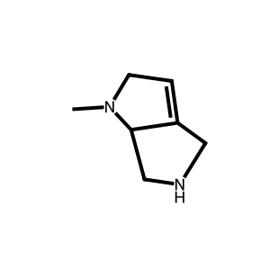 CN1CC=C2CNCC21